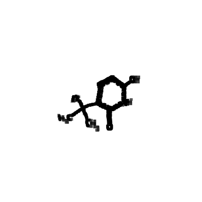 CCC(C)(C)c1ccc(O)[nH]c1=O